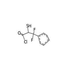 O=C(Cl)C(S)C(F)(F)c1ccccc1